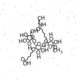 C#CCNC(=O)CCCCCO[C@H]1[C@@H](O)[C@@H](O)[C@@H](OC)O[C@@H]1CO[C@H]1O[C@H](CO[C@H]2O[C@H](CO)[C@@H](O)[C@@H](O)[C@H]2O)[C@@H](OCCCCCC(=O)O)[C@@H](O)[C@H]1O